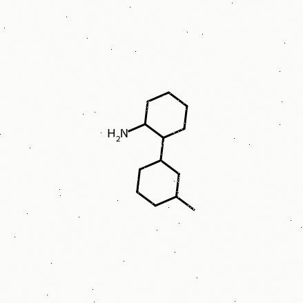 CC1CCCC(C2CCCCC2N)C1